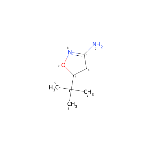 CC(C)(C)C1CC(N)=NO1